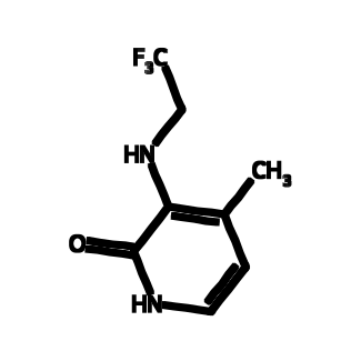 Cc1cc[nH]c(=O)c1NCC(F)(F)F